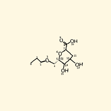 CCCOC[C@@H]1OC(C(=O)O)CC(O)C1O